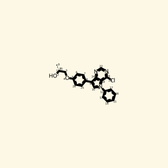 C[C@@H](O)COc1ccc(-c2cn(-c3ccccc3)c3c(Cl)ncnc23)cc1